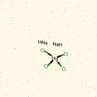 [Cl][Hg]([Cl])([Cl])[Cl].[NaH].[NaH]